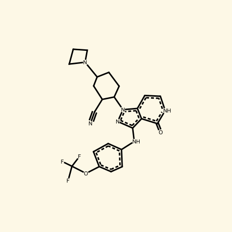 N#CC1CC(N2CCC2)CCC1n1nc(Nc2ccc(OC(F)(F)F)cc2)c2c(=O)[nH]ccc21